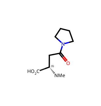 CN[C@@H](CC(=O)N1CCCC1)C(=O)O